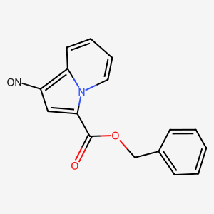 O=Nc1cc(C(=O)OCc2ccccc2)n2ccccc12